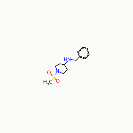 CS(=O)(=O)N1CCC(NCc2ccccc2)CC1